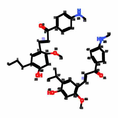 CCCc1cc(/C=C/C(=O)c2ccc(NC)cc2)c(OC)cc1O.CNc1ccc(C(=O)/C=C/c2cc(C(C)C)c(O)cc2OC)cc1